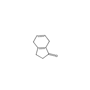 O=C1CCC2=C1CC=CC2